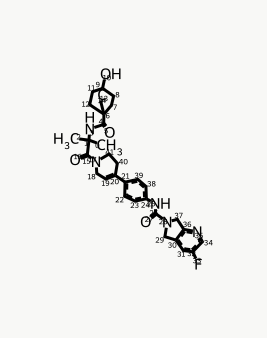 CC(C)(NC(=O)C12CCC(O)(CC1)CC2)C(=O)N1CC=C(c2ccc(NC(=O)N3Cc4cc(F)cnc4C3)cc2)CC1